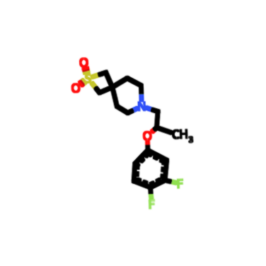 CC(CN1CCC2(CC1)CS(=O)(=O)C2)Oc1ccc(F)c(F)c1